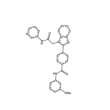 COc1cccc(NC(=O)c2ccc(-c3nc4ccccc4n3CC(=O)Nc3cccnc3)cc2)c1